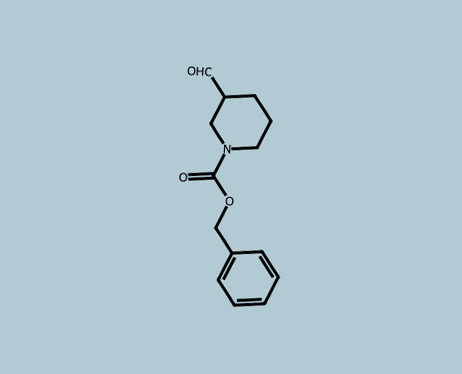 O=CC1CCCN(C(=O)OCc2ccccc2)C1